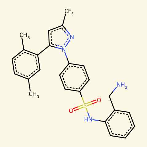 Cc1ccc(C)c(-c2cc(C(F)(F)F)nn2-c2ccc(S(=O)(=O)Nc3ccccc3CN)cc2)c1